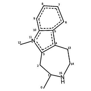 CC1Cc2c(c3ccccc3n2C)CCN1